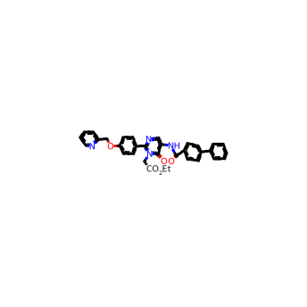 CCOC(=O)Cn1c(-c2ccc(OCc3ccccn3)cc2)ncc(NC(=O)c2ccc(-c3ccccc3)cc2)c1=O